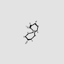 C1CC[Si]2(CC1)CCCCC2